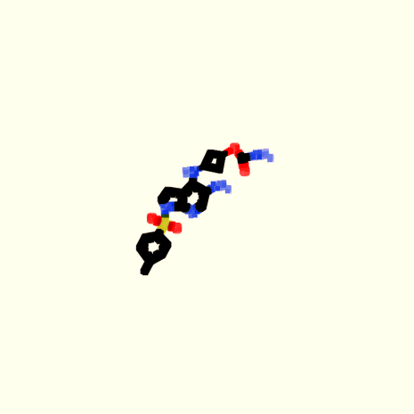 Cc1ccc(S(=O)(=O)n2ccc3c(N[C@H]4C[C@H](OC(N)=O)C4)c(N)cnc32)cc1